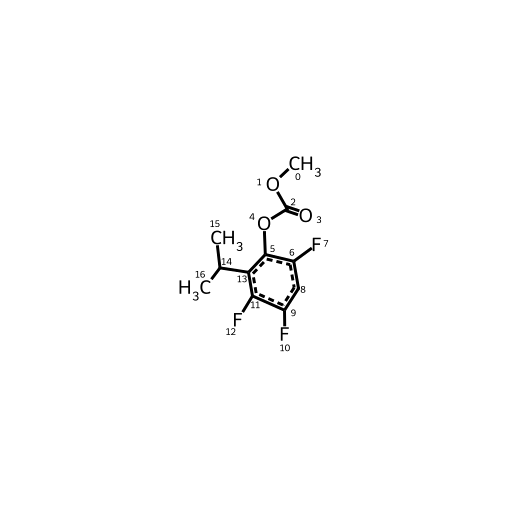 COC(=O)Oc1c(F)cc(F)c(F)c1C(C)C